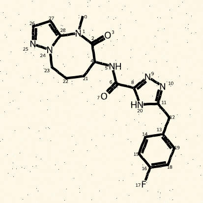 CN1C(=O)C(NC(=O)c2nnc(Cc3ccc(F)cc3)[nH]2)CCCn2nccc21